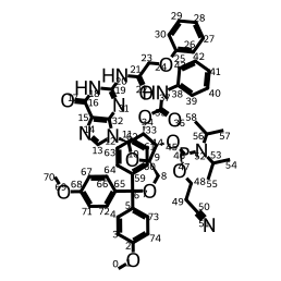 COc1ccc(C(OC[C@H]2O[C@@H](n3cnc4c(=O)[nH]c(NC(=O)COc5ccccc5)nc43)[C@H](OC(=O)Nc3ccccc3)[C@@H]2OP(OCCC#N)N(C(C)C)C(C)C)(c2ccccc2)c2ccc(OC)cc2)cc1